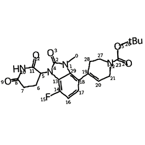 Cn1c(=O)n(C2CCC(=O)NC2=O)c2c(F)ccc(C3=CCN(C(=O)OC(C)(C)C)CC3)c21